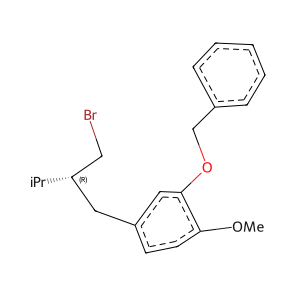 COc1ccc(C[C@@H](CBr)C(C)C)cc1OCc1ccccc1